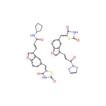 O=C(C=Cc1coc2ccc(C=C3SC(=O)NC3=O)cc12)NC1CCCC1.O=C1NC(=O)C(=Cc2ccc3occ(C=CC(=O)N4CC=CC4)c3c2)S1